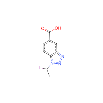 CC(I)n1nnc2cc(C(=O)O)ccc21